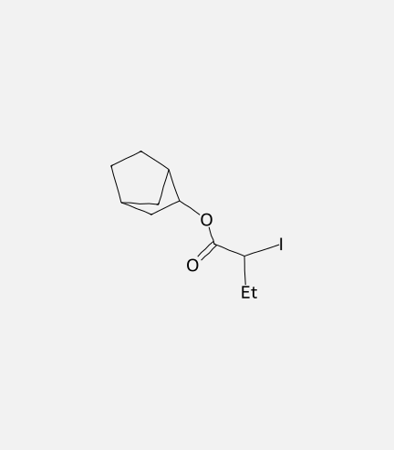 CCC(I)C(=O)OC1CC2CCC1C2